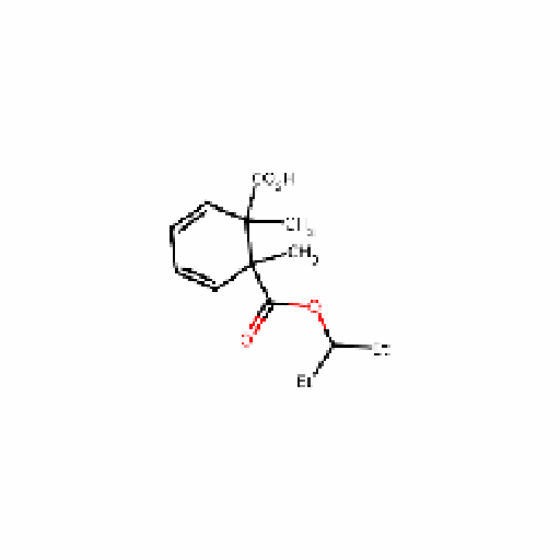 CCC(CC)OC(=O)C1(C)C=CC=CC1(C)C(=O)O